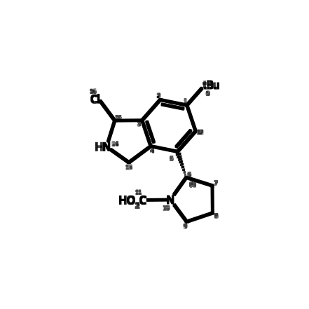 CC(C)(C)c1cc2c(c([C@@H]3CCCN3C(=O)O)c1)CNC2Cl